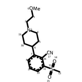 COCCN1CCC(c2cccc(S(C)(=O)=O)c2C#N)CC1